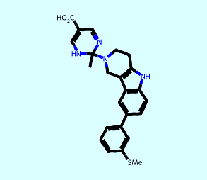 CSc1cccc(-c2ccc3[nH]c4c(c3c2)CN(C2(C)N=CC(C(=O)O)=CN2)CC4)c1